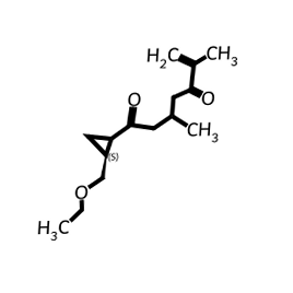 C=C(C)C(=O)CC(C)CC(=O)C1C[C@@H]1COCC